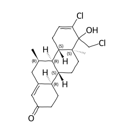 C[C@@H]1CC2=CC(=O)CC[C@@H]2[C@H]2CC[C@@]3(C)[C@@H](CC=C(Cl)C3(O)CCl)[C@@H]21